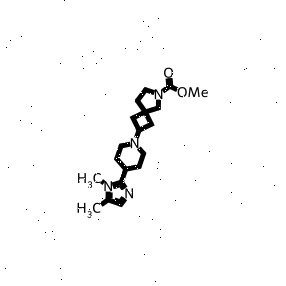 COC(=O)N1CCC2(CC(N3CCC(c4ncc(C)n4C)CC3)C2)C1